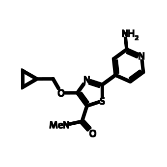 CNC(=O)c1sc(-c2ccnc(N)c2)nc1OCC1CC1